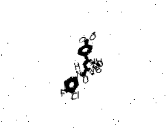 COC(=O)c1ccc(C2CC(C(=O)Nc3ccc(F)c(Cl)c3)N(C)S(=O)(=O)N2)cc1